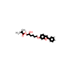 C=C(C)C(=O)OCC(O)CCCCOc1ccc2cc(-c3ccccc3)oc2c1